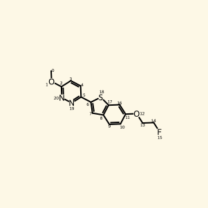 COc1ccc(-c2cc3ccc(OCCF)cc3s2)nn1